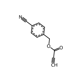 C#CC(=O)OCc1ccc(C#N)cc1